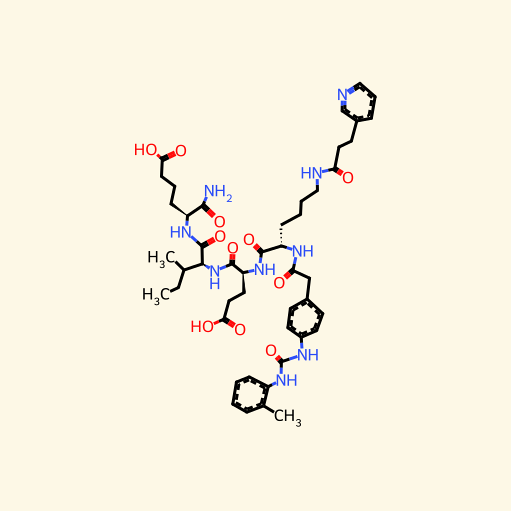 CCC(C)[C@H](NC(=O)[C@H](CCC(=O)O)NC(=O)[C@H](CCCCNC(=O)CCc1cccnc1)NC(=O)Cc1ccc(NC(=O)Nc2ccccc2C)cc1)C(=O)N[C@@H](CCCC(=O)O)C(N)=O